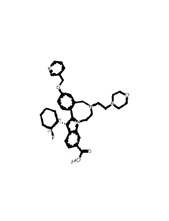 O=C(O)c1ccc2c([C@H]3CCCC[C@@H]3F)c3n(c2c1)CCN(CCN1CCOCC1)Cc1cc(OCc2cccnc2)ccc1-3